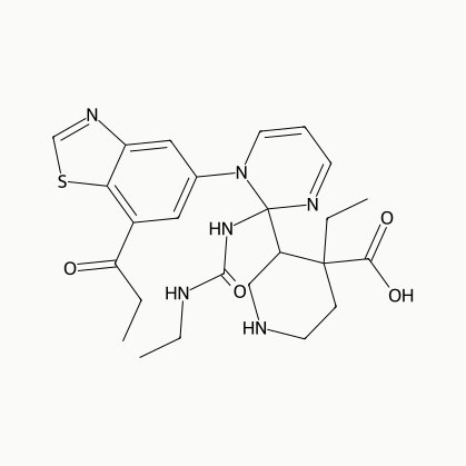 CCNC(=O)NC1(C2CNCCC2(CC)C(=O)O)N=CC=CN1c1cc(C(=O)CC)c2scnc2c1